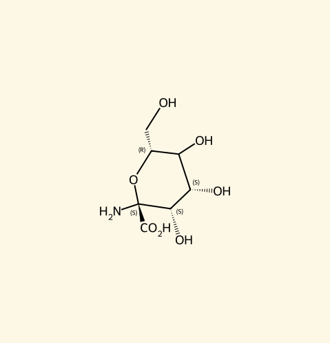 N[C@]1(C(=O)O)O[C@H](CO)C(O)[C@H](O)[C@@H]1O